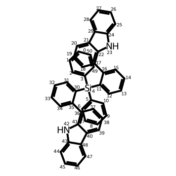 c1ccc([Si](c2ccccc2)(c2ccccc2-c2cccc3c2[nH]c2ccccc23)c2ccccc2-c2cccc3c2[nH]c2ccccc23)cc1